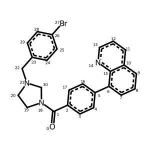 O=C(c1ccc(-c2cccc3cccnc23)cc1)N1CCN(Cc2ccc(Br)cc2)C1